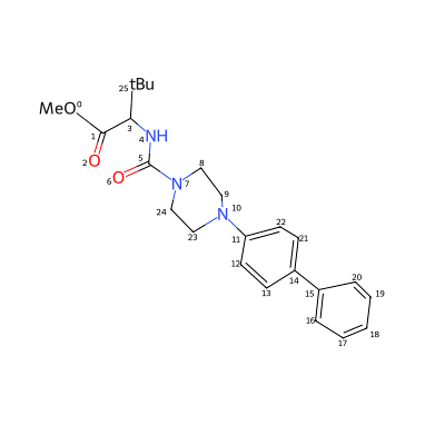 COC(=O)C(NC(=O)N1CCN(c2ccc(-c3ccccc3)cc2)CC1)C(C)(C)C